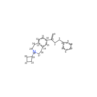 C=C(CCc1ccccc1)c1ccc2c(c1)CCN(C1CCC1)CC2